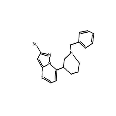 Brc1cc2nccc(C3CCCN(Cc4ccccc4)C3)n2n1